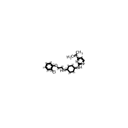 CN(C)c1ccnc(NC2CCC(NCCOc3ccccc3Cl)CC2)n1